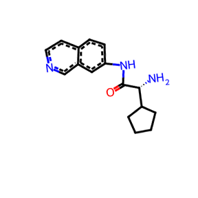 N[C@@H](C(=O)Nc1ccc2ccncc2c1)C1CCCC1